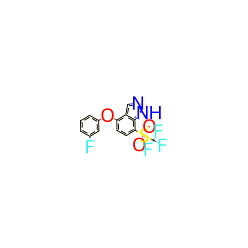 O=S(=O)(c1ccc(Oc2cccc(F)c2)c2cn[nH]c12)C(F)(F)F